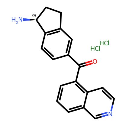 Cl.Cl.N[C@H]1CCc2cc(C(=O)c3cccc4cnccc34)ccc21